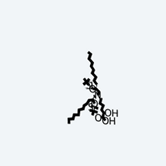 CCCCCCCCCC[C@H](CN(CCCCC(O)C(=O)O)C[C@@H](CCCCCCCCCC)O[Si](C)(C)C(C)(C)C)O[Si](C)(C)C(C)(C)C